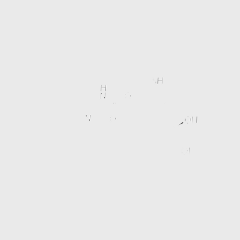 C=C(C[C@@H](O)CO)C(S)COC(=O)Nc1cc2ccccc2cn1